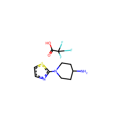 NC1CCN(c2nccs2)CC1.O=C(O)C(F)(F)F